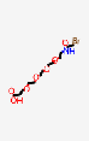 O=C(O)CCOCCOCCOCCOCCNC(=O)CBr